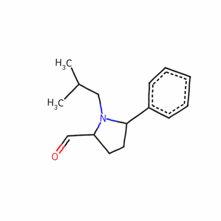 CC(C)CN1C(C=O)CCC1c1ccccc1